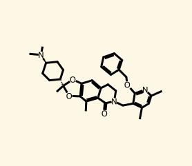 Cc1cc(C)c(CN2CCc3cc4c(c(C)c3C2=O)OC(C)([C@H]2CC[C@H](N(C)C)CC2)O4)c(OCc2ccccc2)n1